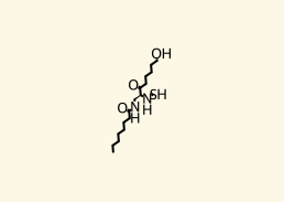 CCCCCCCC(=O)NC[C@H](NS)C(=O)CCCCCO